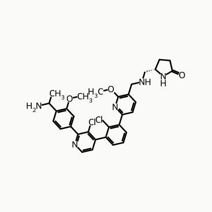 COc1cc(-c2nccc(-c3cccc(-c4ccc(CNC[C@@H]5CCC(=O)N5)c(OC)n4)c3Cl)c2Cl)ccc1C(C)N